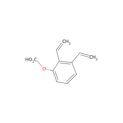 C=Cc1cccc(OC(=O)O)c1C=C